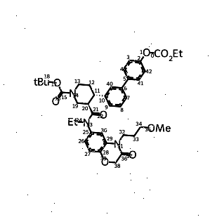 CCOC(=O)Oc1ccc(-c2cccc([C@H]3CCN(C(=O)OC(C)(C)C)C[C@@H]3C(=O)N(CC)c3ccc4c(c3)N(CCCOC)C(=O)CO4)c2)cc1